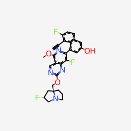 C#Cc1c(F)ccc2cc(O)cc(-c3nc(OC)c4cnc(OC[C@@]56CCCN5C[C@H](F)C6)nc4c3F)c12